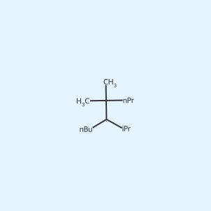 CCCC[C](C(C)C)C(C)(C)CCC